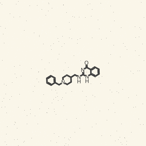 O=c1nc(NCC2CCN(Cc3ccccc3)CC2)[nH]c2ccccc12